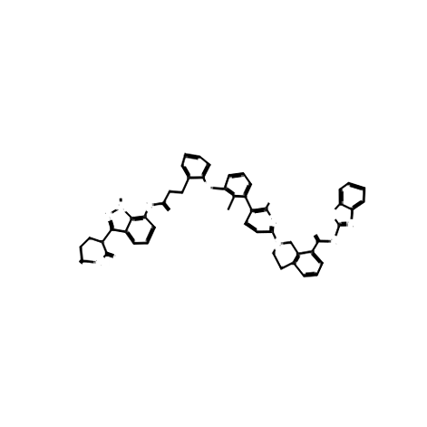 Cc1c(Oc2ccccc2CCC(=O)Nc2cccc3c(C4CCC(=O)NC4=O)nn(C)c23)cccc1-c1ccc(N2CCc3cccc(C(=O)Nc4nc5ccccc5s4)c3C2)nc1C(=O)O